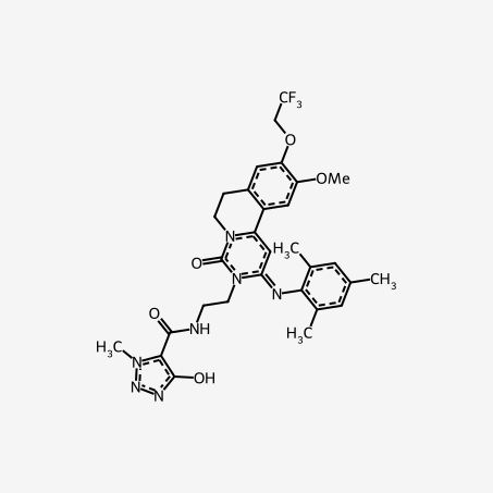 COc1cc2c(cc1OCC(F)(F)F)CCn1c-2c/c(=N\c2c(C)cc(C)cc2C)n(CCNC(=O)c2c(O)nnn2C)c1=O